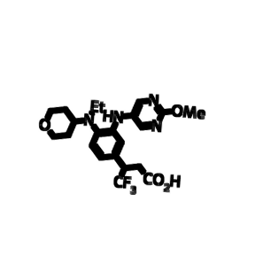 CCN(c1ccc(C(CC(=O)O)C(F)(F)F)cc1Nc1cnc(OC)nc1)C1CCOCC1